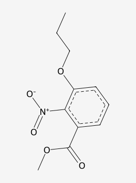 CCCOc1cccc(C(=O)OC)c1[N+](=O)[O-]